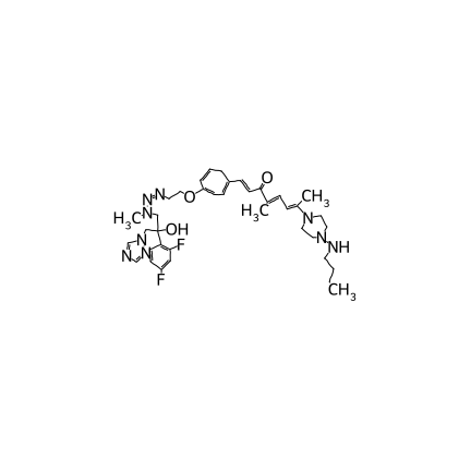 CCCCNN1CCN(/C(C)=C/C=C(\C)C(=O)/C=C/C2=CC=C(OCC/N=N\N(C)CC(O)(Cn3cncn3)c3ccc(F)cc3F)C=CC2)CC1